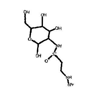 CCCNCC[S+]([O-])NC1C(O)OC(CO)C(O)C1O